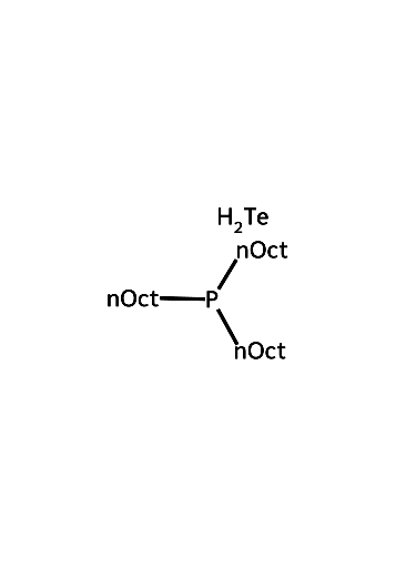 CCCCCCCCP(CCCCCCCC)CCCCCCCC.[TeH2]